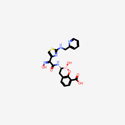 O=C(N[C@H]1Cc2cccc(C(=O)O)c2OB1O)/C(=N\O)c1csc(NCc2ccccn2)n1